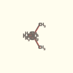 CCCCC1=C(c2cc(C)c(C)c(C)c2)[N+](=[N-])C(c2cc(C)c(C)c(C)c2)=C1CCCC.CCCCCCCCCCCCCCCCCCCCCCCCC[CH2][Ni][CH2]CCCCCCCCCCCCCCCCCCCCCCCCC